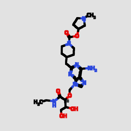 CCNC(=O)[C@@H](OCn1cnc2c(N)nc(CC3CCN(C(=O)OC4CCN(C)C4)CC3)nc21)C(O)CO